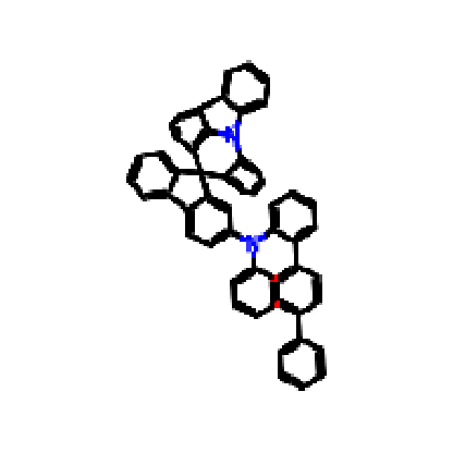 c1ccc(-c2ccc(-c3ccccc3N(c3ccccc3)c3ccc4c(c3)C3(c5ccccc5-4)c4ccccc4-n4c5ccccc5c5cccc3c54)cc2)cc1